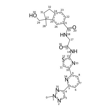 Cn1ncc(-c2cccc(-c3csc(NC(=O)CNC(=O)c4ccc5c(c4)C(C)(CO)CC5)n3)n2)n1